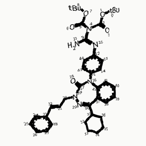 CC(C)(C)OC(=O)N(C(=O)OC(C)(C)C)/C(N)=N/c1ccc(N2C(=O)N(C/C=C/c3ccccc3)N=C(C3CCCCC3)c3ccccc32)cc1